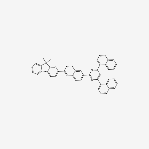 CC1(C)c2ccccc2-c2ccc(-c3ccc4cc(-c5nc(-c6cccc7ccccc67)nc(-c6cccc7ccccc67)n5)ccc4c3)cc21